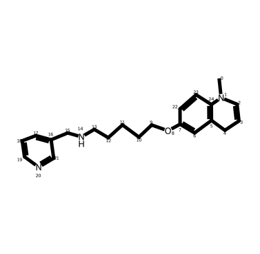 CN1C=CCc2cc(OCCCCCNCc3cccnc3)ccc21